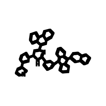 C1=C(c2cc3ccccc3c3ccccc23)N=C(c2cccc(-c3c4ccccc4c(-c4ccc5ccccc5c4)c4ccccc34)c2)NC1c1cccc(-c2cccnc2)c1